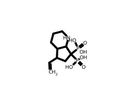 C=CC1CC(P(=O)(O)O)(P(=O)(O)O)C2NCCCC12